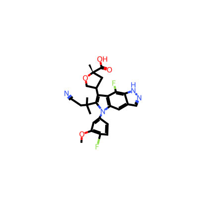 COc1cc(-n2c(C(C)(C)CC#N)c(C3CO[C@](C)(C(=O)O)C3)c3c(F)c4[nH]ncc4cc32)ccc1F